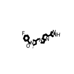 C[C@H]1CC(Cn2ccc3nc(-c4cn[nH]c4)ccc32)CN1C(=O)c1ccc(F)cc1